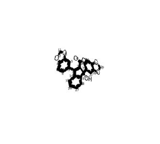 O=C(O)C1=C(c2ccc3c(c2)OCO3)c2ccccc2C1(O)c1ccc2c(c1)OCO2